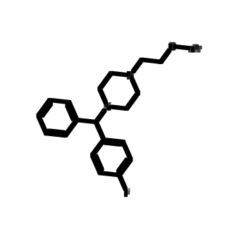 CCCOCCN1CCN(C(c2ccccc2)c2ccc(F)cc2)CC1